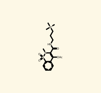 CC(=O)OC1=C(C(=O)NCCC[N+](C)(C)C)N(C)S(=O)(=O)c2ccccc21